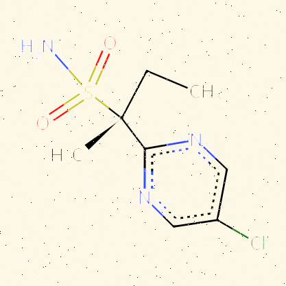 CC[C@](C)(c1ncc(Cl)cn1)S(N)(=O)=O